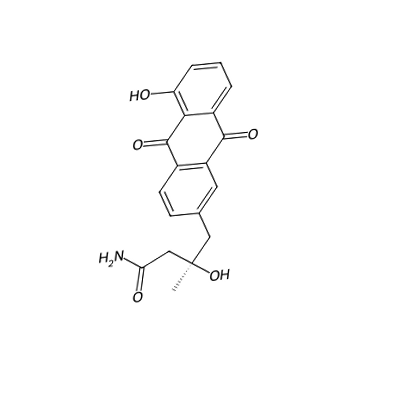 C[C@](O)(CC(N)=O)Cc1ccc2c(c1)C(=O)c1cccc(O)c1C2=O